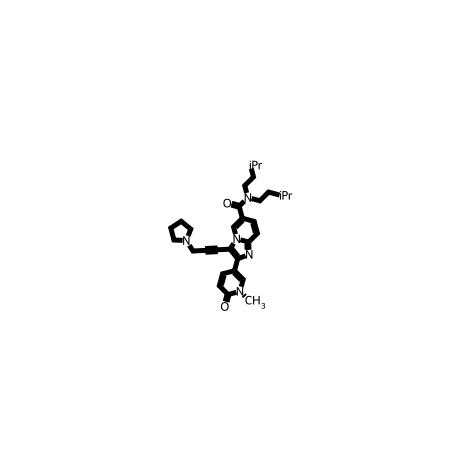 CC(C)CCN(CCC(C)C)C(=O)c1ccc2nc(-c3ccc(=O)n(C)c3)c(C#CCN3CCCC3)n2c1